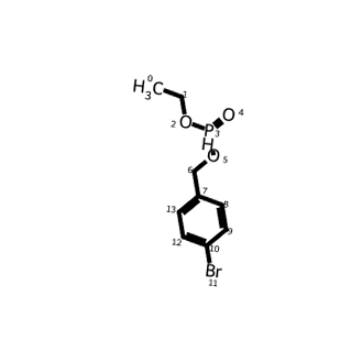 CCO[PH](=O)OCc1ccc(Br)cc1